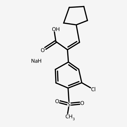 CS(=O)(=O)c1ccc(C(=CC2CCCC2)C(=O)O)cc1Cl.[NaH]